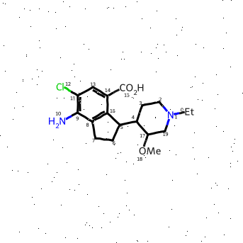 CCN1CCC(C2CCc3c(N)c(Cl)cc(C(=O)O)c32)C(OC)C1